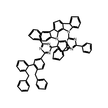 c1ccc(Cc2ccccc2-c2cc(-c3nc(-c4ccccc4)nc(-c4ccccc4-n4c5ccccc5c5ccc6c7ccccc7n(-c7nc(-c8ccccc8)nc(-c8ccccc8)n7)c6c54)n3)ccc2Cc2ccccc2)cc1